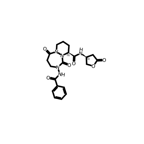 O=C1C[C@H](NC(=O)[C@@H]2CCCN3C(=O)CCN(NC(=O)c4ccccc4)C(=O)N23)CO1